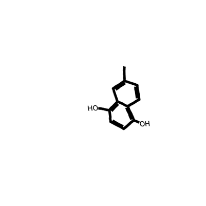 Cc1ccc2c(O)ccc(O)c2c1